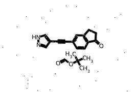 CC(C)(C)OC=O.O=C1CCc2cc(C#Cc3cn[nH]c3)ccc21